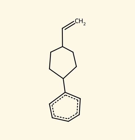 C=CC1CCC(c2ccccc2)CC1